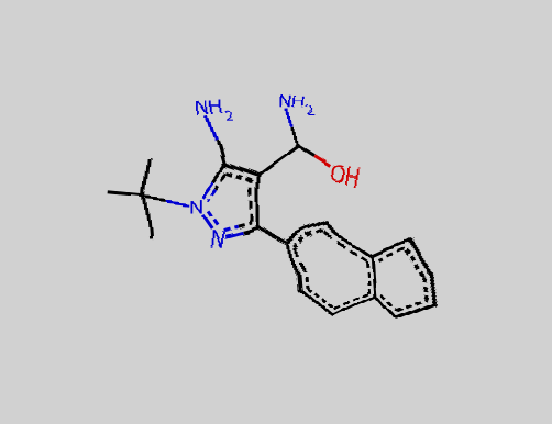 CC(C)(C)n1nc(-c2ccc3ccccc3c2)c(C(N)O)c1N